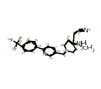 CNC1(CC#N)CCN(Cc2ccc(-c3ccc(C(F)(F)F)cc3)nc2)CC1